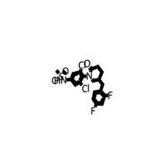 CS(=O)(=O)Nc1cc(Cl)c(N2CC(Cc3ccc(F)cc3F)CCC2=O)c(Cl)c1